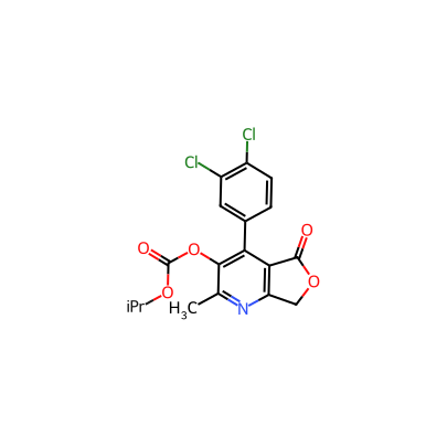 Cc1nc2c(c(-c3ccc(Cl)c(Cl)c3)c1OC(=O)OC(C)C)C(=O)OC2